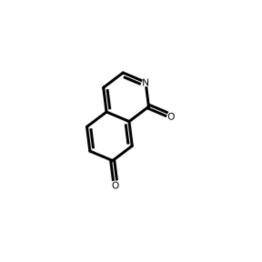 O=C1C=CC2=CC=NC(=O)C2=C1